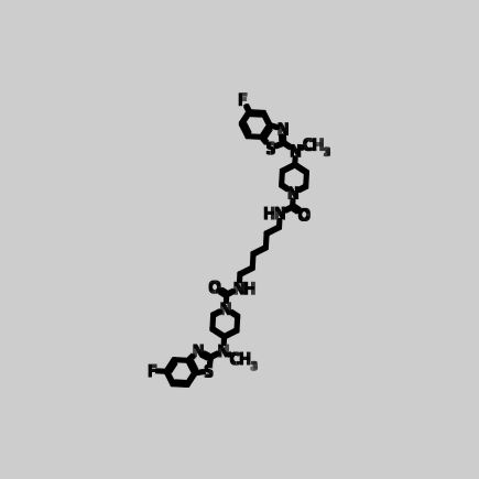 CN(c1nc2cc(F)ccc2s1)C1CCN(C(=O)NCCCCCCNC(=O)N2CCC(N(C)c3nc4cc(F)ccc4s3)CC2)CC1